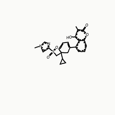 Cc1c(O)c2c(C3=CC=CC(CS(=O)(=O)c4cn(C)cn4)(C4CC4)C3)cccc2oc1=O